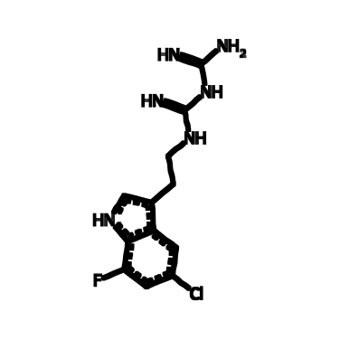 N=C(N)NC(=N)NCCc1c[nH]c2c(F)cc(Cl)cc12